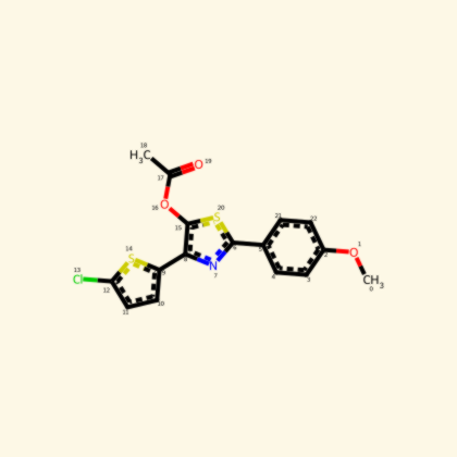 COc1ccc(-c2nc(-c3ccc(Cl)s3)c(OC(C)=O)s2)cc1